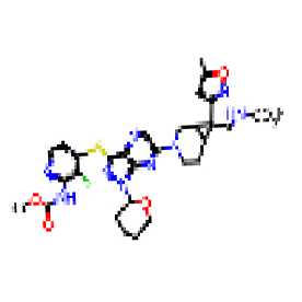 Cc1cc(C2(CNC(=O)O)C3CCN(c4cnc5c(Sc6ccnc(NC(=O)OC(C)(C)C)c6Cl)nn(C6CCCCO6)c5n4)CC32)no1